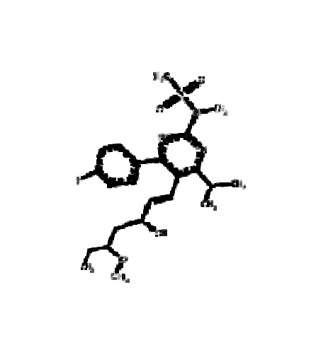 CCC(C[C@H](O)/C=C/c1c(-c2ccc(F)cc2)nc(N(C)S(C)(=O)=O)nc1C(C)C)OC